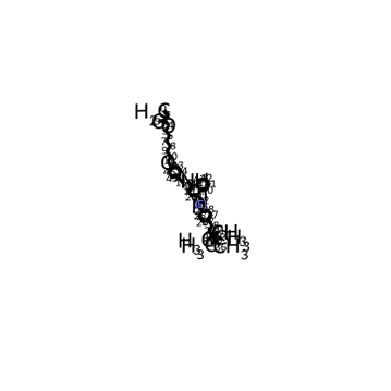 C=CC(=O)OCCCCCCOc1ccc(CNc2ccc(/N=N/c3ccc(CCC(C)(C)C(C)(C)C)cc3)c3ccccc23)cc1